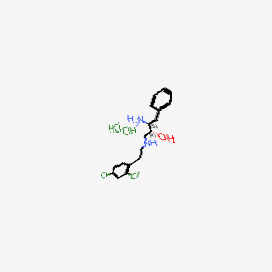 Cl.Cl.N[C@@H](Cc1ccccc1)[C@H](O)CNCCc1ccc(Cl)cc1Cl